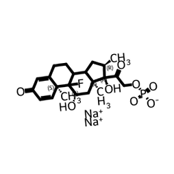 C[C@@H]1CC2C3CCC4=CC(=O)C=C[C@]4(C)C3(F)[C@@H](O)C[C@]2(C)[C@@]1(O)C(=O)COP(=O)([O-])[O-].[Na+].[Na+]